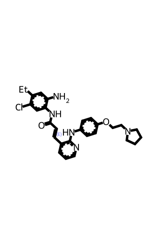 CCc1cc(N)c(NC(=O)/C=C/c2cccnc2Nc2ccc(OCCN3CCCC3)cc2)cc1Cl